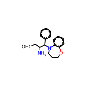 N[C@H](CC=O)C(c1ccccc1)N1CCCOc2ccccc21